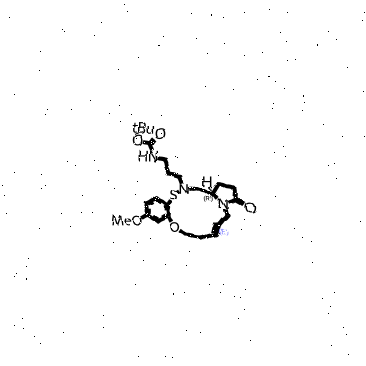 COc1ccc2c(c1)OCC/C=C/CN1C(=O)CC[C@@H]1CN(CCCNC(=O)OC(C)(C)C)S2